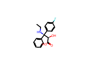 CCN[C@@](c1ccccc1)(c1ccc(F)cc1)[C@@H](O)C(=O)O